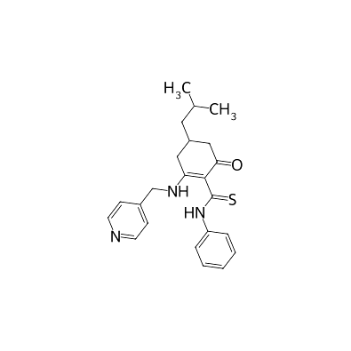 CC(C)CC1CC(=O)C(C(=S)Nc2ccccc2)=C(NCc2ccncc2)C1